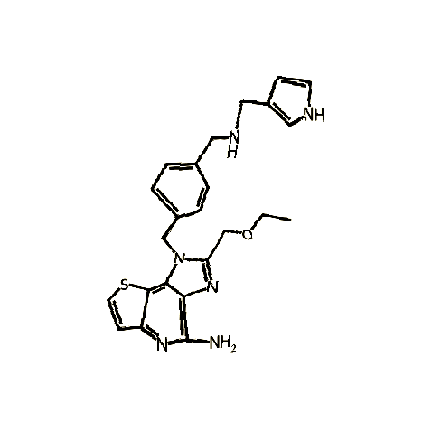 CCOCc1nc2c(N)nc3ccsc3c2n1Cc1ccc(CNCc2cc[nH]c2)cc1